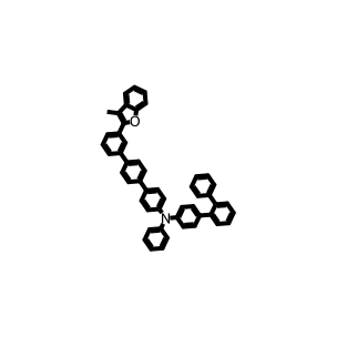 Cc1c(-c2cccc(-c3ccc(-c4ccc(N(c5ccccc5)c5ccc(-c6ccccc6-c6ccccc6)cc5)cc4)cc3)c2)oc2ccccc12